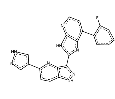 Fc1ccccc1-c1ccnc2[nH]c(-c3n[nH]c4ccc(-c5cn[nH]c5)nc34)nc12